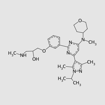 CNCC(O)COc1cccc(-c2nc(-c3c(C)nn(C(C)C)c3C)cc(N(C)C3CCOCC3)n2)c1